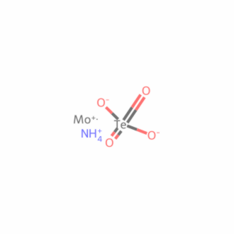 O=[Te](=O)([O-])[O-].[Mo+].[NH4+]